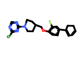 Fc1cc(C2=CC=CCC2)ccc1OCC1CCN(c2ncnc(Cl)n2)CC1